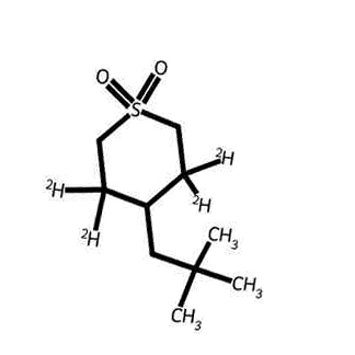 [2H]C1([2H])CS(=O)(=O)CC([2H])([2H])C1CC(C)(C)C